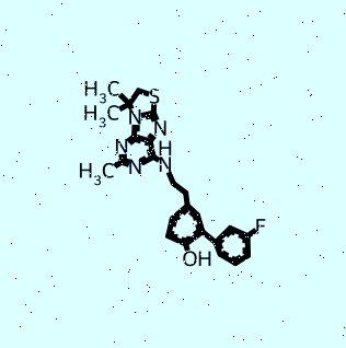 Cc1nc(NCCc2ccc(O)c(-c3cccc(F)c3)c2)c2nc3n(c2n1)C(C)(C)CS3